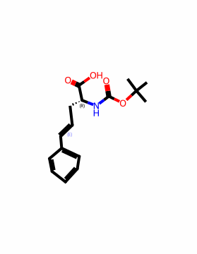 CC(C)(C)OC(=O)N[C@H](C/C=C/c1ccccc1)C(=O)O